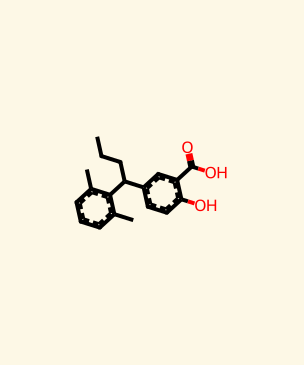 CCCC(c1ccc(O)c(C(=O)O)c1)c1c(C)cccc1C